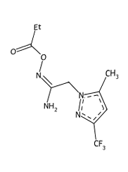 CCC(=O)O/N=C(/N)Cn1nc(C(F)(F)F)cc1C